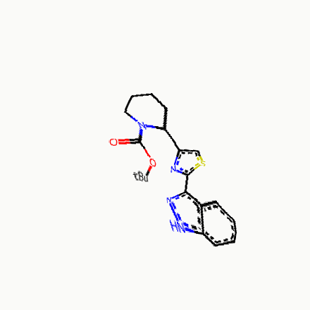 CC(C)(C)OC(=O)N1CCCCC1c1csc(-c2n[nH]c3ccccc23)n1